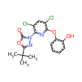 CC(C)(C)c1nn(-c2nc(Oc3ccccc3O)c(Cl)cc2Cl)c(=O)o1